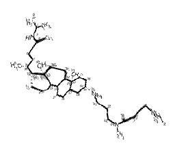 CC(C)NC(=O)CC[C@@H](C)[C@H]1CCC2C3CCC4C[C@@H](NCCCN(C)CCCN)CC[C@]4(C)C3CC[C@@]21C